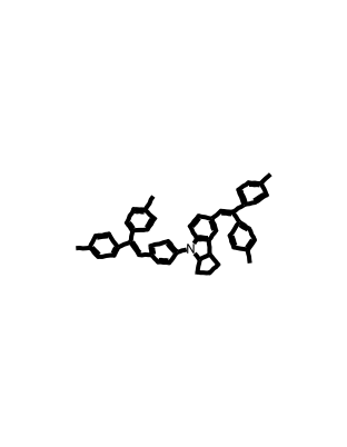 Cc1ccc(C(=Cc2ccc(N3c4ccc(C=C(c5ccc(C)cc5)c5ccc(C)cc5)cc4C4CCCC43)cc2)c2ccc(C)cc2)cc1